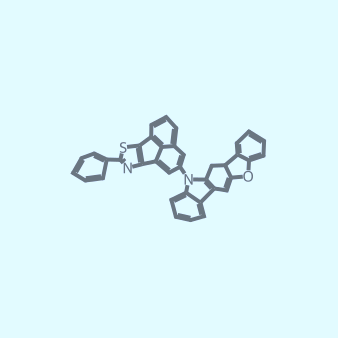 C1=C2Oc3ccccc3C2Cc2c1c1ccccc1n2-c1cc2c3c(cccc3c1)-c1sc(-c3ccccc3)nc1-2